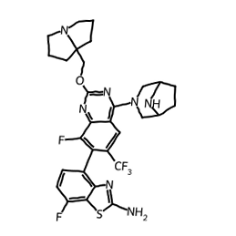 Nc1nc2c(-c3c(C(F)(F)F)cc4c(N5CC6CCC(C5)N6)nc(OCC56CCCN5CCC6)nc4c3F)ccc(F)c2s1